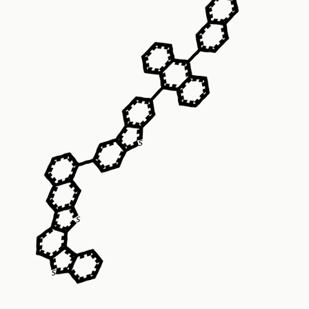 c1ccc2cc(-c3c4ccccc4c(-c4ccc5c(c4)sc4ccc(-c6cccc7cc8c(cc67)sc6c8ccc7sc8ccccc8c76)cc45)c4ccccc34)ccc2c1